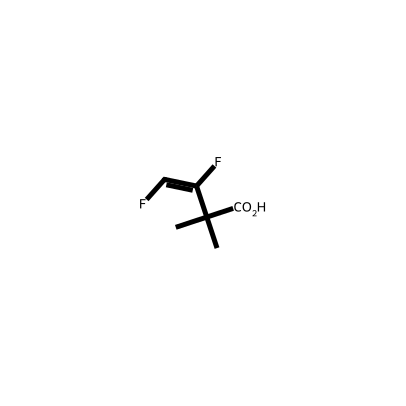 CC(C)(C(=O)O)/C(F)=C\F